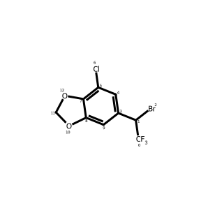 FC(F)(F)C(Br)c1cc(Cl)c2c(c1)OCO2